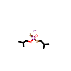 CC(C)COP([O-])(=S)SCC(C)C.[P+]